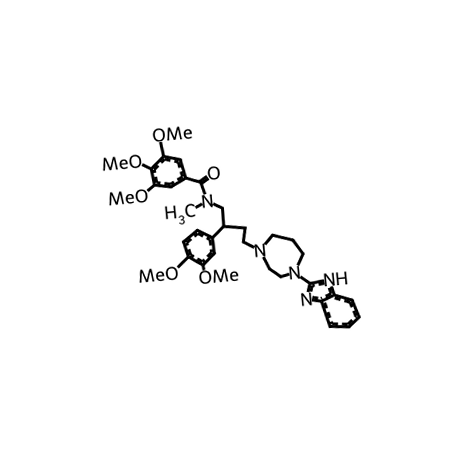 COc1ccc(C(CCN2CCCN(c3nc4ccccc4[nH]3)CC2)CN(C)C(=O)c2cc(OC)c(OC)c(OC)c2)cc1OC